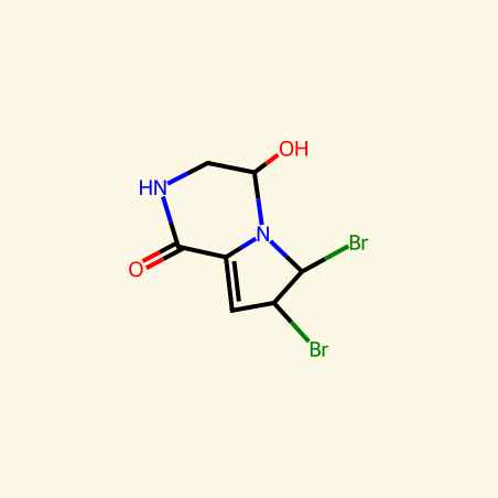 O=C1NCC(O)N2C1=CC(Br)C2Br